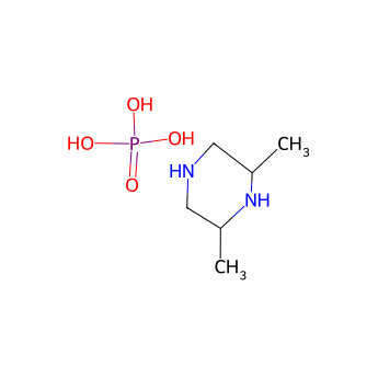 CC1CNCC(C)N1.O=P(O)(O)O